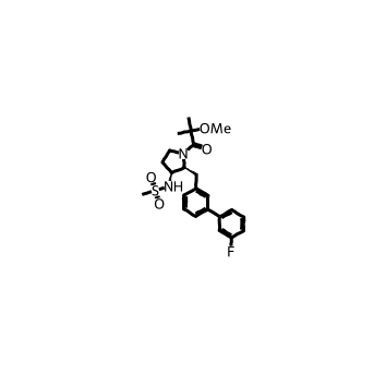 COC(C)(C)C(=O)N1CC[C@H](NS(C)(=O)=O)[C@@H]1Cc1cccc(-c2cccc(F)c2)c1